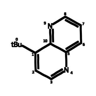 CC(C)(C)c1ccnc2cccnc12